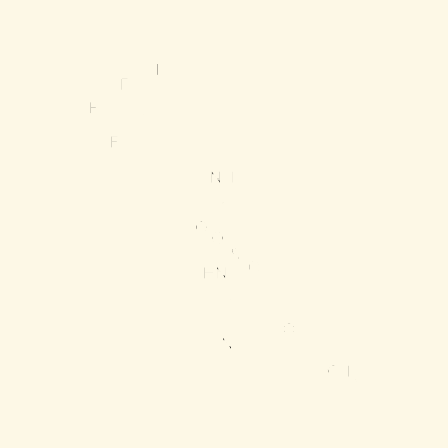 CCOc1cncc(NS(=O)(=O)c2ccccc2C(=O)NCc2ccc(F)c(C(F)(F)F)c2)c1